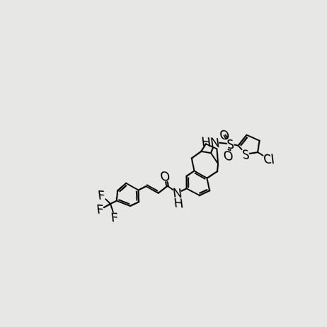 O=C(/C=C/c1ccc(C(F)(F)F)cc1)Nc1ccc2c(c1)CC1CCC(C2)C1NS(=O)(=O)C1=CCC(Cl)S1